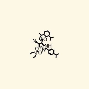 CCN(CC)C(=O)Oc1c(C#N)c(C(=O)OC2C(C(C)C)CCCC2C(C)C)c2[nH]c(-c3ccc(C(C)C)cc3)nn12